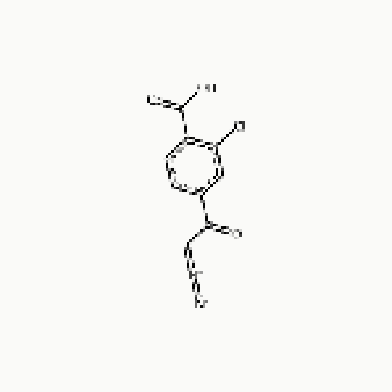 [N-]=[N+]=CC(=O)c1ccc(C(=O)O)c(Cl)c1